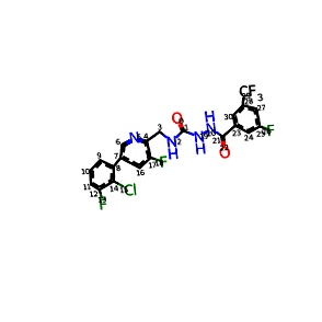 O=C(NCc1ncc(-c2cccc(F)c2Cl)cc1F)NNC(=O)c1cc(F)cc(C(F)(F)F)c1